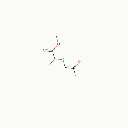 COC(=O)C(C)OCC(C)=O